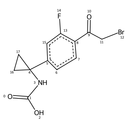 O=C(O)NC1(c2ccc(C(=O)CBr)c(F)c2)CC1